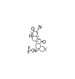 CC1(C)CC[C@]2(CN3CC(F)(F)C3)CC[C@]3(C)C(C(=O)C=C4[C@@]5(C)C=C(C#N)C(=O)C(C)(C)[C@@H]5CC[C@]43C)C2C1